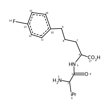 CC(C)C(N)C(=O)NC(CCCc1ccc(F)cc1)C(=O)O